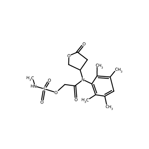 CNS(=O)(=O)OCC(=O)N(c1c(C)c(C)cc(C)c1C)C1COC(=O)C1